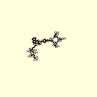 O=C(O)CCC(NC(=O)NC(CCCCNC(=O)C(Cc1cccc2ccccc12)NC(=O)C1CCC(CNC(=O)CN2CCN(CC(=O)O)CCN(CC(=O)O)CCN(CC(=O)O)CC2)CC1)C(=O)O)C(=O)O